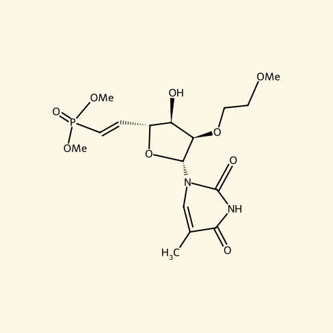 COCCO[C@@H]1[C@H](O)[C@@H](/C=C/P(=O)(OC)OC)O[C@H]1n1cc(C)c(=O)[nH]c1=O